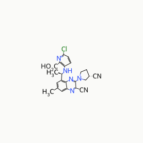 Cc1cc([C@@H](C)Nc2ccc(Cl)nc2C(=O)O)c2nc(N3CC[C@H](C#N)C3)c(C#N)nc2c1